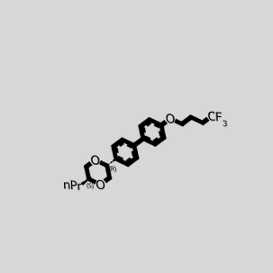 CCC[C@H]1CO[C@H](c2ccc(-c3ccc(OCCCC(F)(F)F)cc3)cc2)CO1